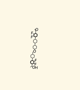 CC(O)c1ccc(C2CCC(COC3CCC(C4CCC(c5ccc(C6CO6)c(F)c5F)CC4)CC3)CC2)c(F)c1F